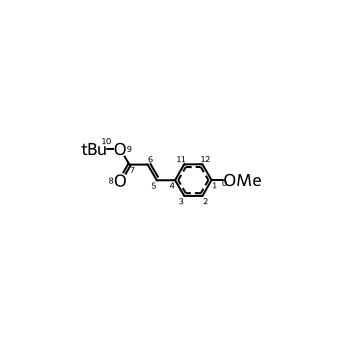 COc1ccc(/C=C/C(=O)OC(C)(C)C)cc1